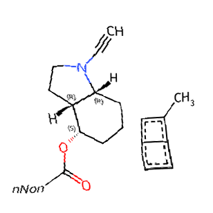 C#CN1CC[C@H]2[C@@H](OC(=O)CCCCCCCCC)CCC[C@H]21.Cc1cc2ccc1-2